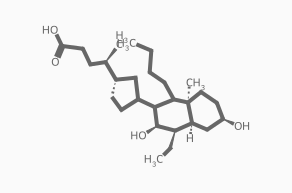 CCCCC1C(C2CC[C@H]([C@H](C)CCC(=O)O)C2)[C@H](O)[C@H](CC)[C@@H]2C[C@H](O)CC[C@]12C